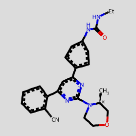 CCNC(=O)Nc1ccc(-c2cc(-c3ccccc3C#N)nc(N3CCOC[C@@H]3C)n2)cc1